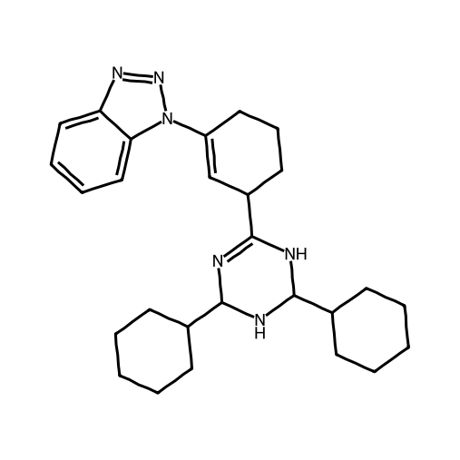 C1=C(n2nnc3ccccc32)CCCC1C1=NC(C2CCCCC2)NC(C2CCCCC2)N1